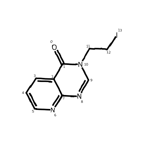 O=c1c2cccnc2ncn1CCI